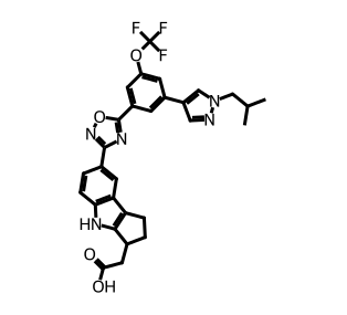 CC(C)Cn1cc(-c2cc(OC(F)(F)F)cc(-c3nc(-c4ccc5[nH]c6c(c5c4)CCC6CC(=O)O)no3)c2)cn1